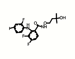 CC(C)(O)CCONC(=O)c1ccc(F)c(F)c1Nc1ccc(I)cc1F